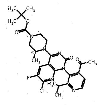 CC(=O)c1ccnc(C(C)C)c1-n1c(=O)nc(N2CCN(C(=O)OC(C)(C)C)C[C@@H]2C)c2cc(F)c(Cl)nc21